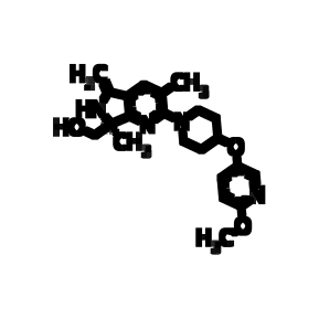 C=C1N[C@](C)(CO)c2nc(N3CCC(Oc4ccc(OC)nc4)CC3)c(C)cc21